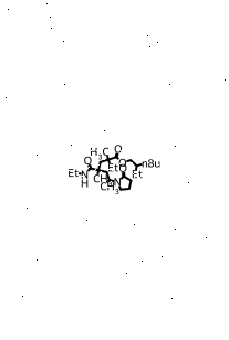 CCCCC(CC)COC(=O)C(C)(CC)CC(C)(CC(C)N1CCCC1=O)C(=O)NCC